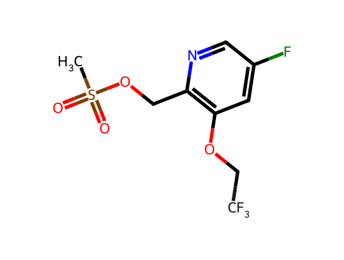 CS(=O)(=O)OCc1ncc(F)cc1OCC(F)(F)F